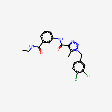 CCNC(=O)c1cccc(NC(=O)c2nnn(Cc3ccc(Cl)c(Cl)c3)c2C)c1